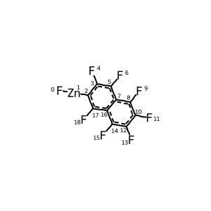 [F][Zn][c]1c(F)c(F)c2c(F)c(F)c(F)c(F)c2c1F